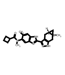 Cc1cc2[nH]c(-c3n[nH]c4c3C[C@@H]3C[C@]3(C)C4)nc2cc1N(C)C(=O)C1CCC1